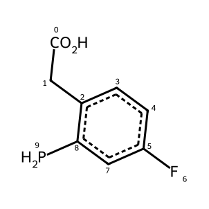 O=C(O)Cc1ccc(F)cc1P